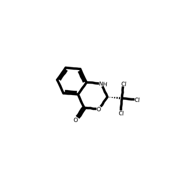 O=C1O[C@@H](C(Cl)(Cl)Cl)Nc2ccccc21